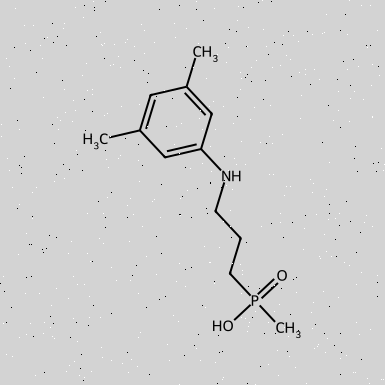 Cc1cc(C)cc(NCCCP(C)(=O)O)c1